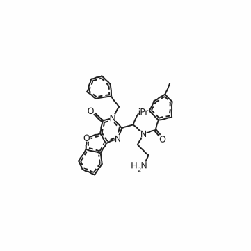 Cc1ccc(C(=O)N(CCN)C(c2nc3c(oc4ccccc43)c(=O)n2Cc2ccccc2)C(C)C)cc1